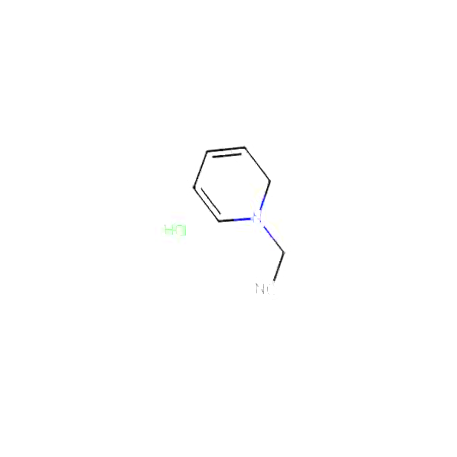 Cl.N#CCN1C=CC=CC1